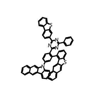 c1ccc(-c2nc(-c3ccc4c(c3)sc3ccccc34)nc(-c3ccc(-n4c5ccccc5c5cc6ccccc6cc54)cc3-c3cccc4sc5cc6ccccc6cc5c34)n2)cc1